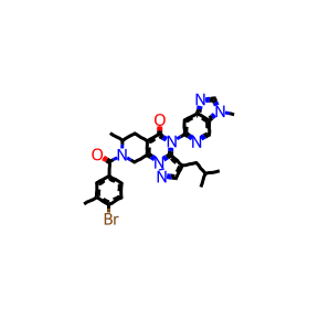 Cc1cc(C(=O)N2Cc3c(c(=O)n(-c4cc5ncn(C)c5cn4)c4c(CC(C)C)cnn34)CC2C)ccc1Br